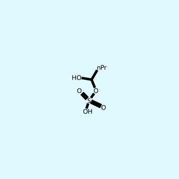 CCCC(O)OS(=O)(=O)O